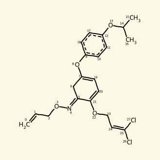 C=CCON=C1CC(Oc2ccc(OC(C)C)cc2)=CC=C1OCC=C(Cl)Cl